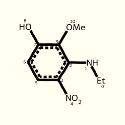 CCNc1c([N+](=O)[O-])ccc(O)c1OC